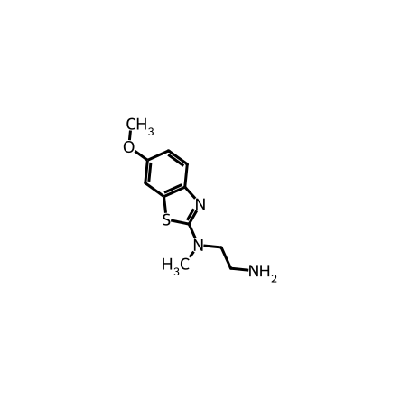 COc1ccc2nc(N(C)CCN)sc2c1